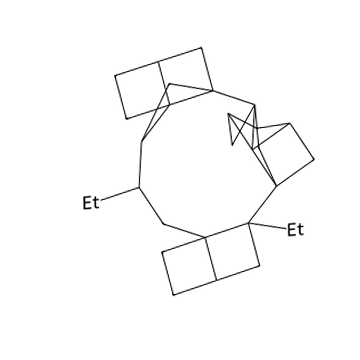 CCC1CC23CCC2CC3(CC)C23CC4CC5CC(C2)(C26CC7CCC72C1C6)C453